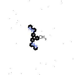 Cc1ccc2c(c1)c1cc(-c3cccc(-c4ccccn4)n3)ccc1c1ccc(-c3cccc(-c4ccccn4)n3)cc12